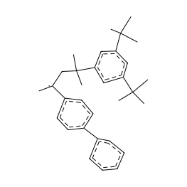 C[C](CC(C)(C)c1cc(C(C)(C)C)cc(C(C)(C)C)c1)c1ccc(-c2ccccc2)cc1